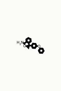 NC(=O)c1ccccc1C1(c2ccc(Oc3ccccc3)cc2)CC1